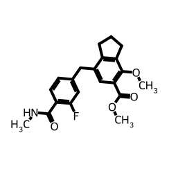 CNC(=O)c1ccc(Cc2cc(C(=O)OC)c(OC)c3c2CCC3)cc1F